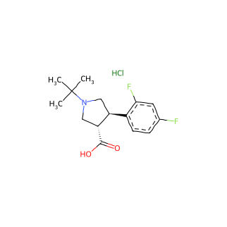 CC(C)(C)N1C[C@@H](C(=O)O)[C@H](c2ccc(F)cc2F)C1.Cl